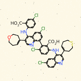 O=C(O)c1cc(Cl)ccc1Nc1c(C2=CCCOCC2)cnc2c(-c3c(Cl)ccc(Nc4c(C5=CCCSCC5)cnc5ccc(Cl)cc45)c3C(=O)O)cc(Cl)cc12